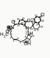 C[C@H]1C/C=C/C[C@@H](O)[C@@H]2CC[C@H]2CN2C[C@@]3(CCCc4cc(Cl)ccc43)COc3ccc(cc32)C(=O)NS1(=O)=O